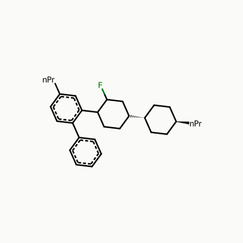 CCCc1ccc(-c2ccccc2)c(C2CCC([C@H]3CC[C@H](CCC)CC3)CC2F)c1